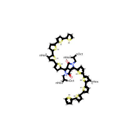 CCCCCCCCC(CCCCCC)CN1C(=O)C2=C(C3CC=C(C4=CC(CCCCCC)C(C5CC=C(C6=CCC(C7CC=CS7)S6)S5)S4)S3)N(CC(CCCCCC)CCCCCCCC)C(=O)C2=C1c1ccc(-c2cc(CCCCCC)c(-c3ccc(-c4ccc(-c5cccs5)s4)s3)s2)s1